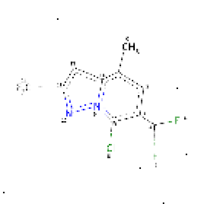 Cc1cc(C(F)F)c(Cl)n2nc(C(F)(F)F)cc12